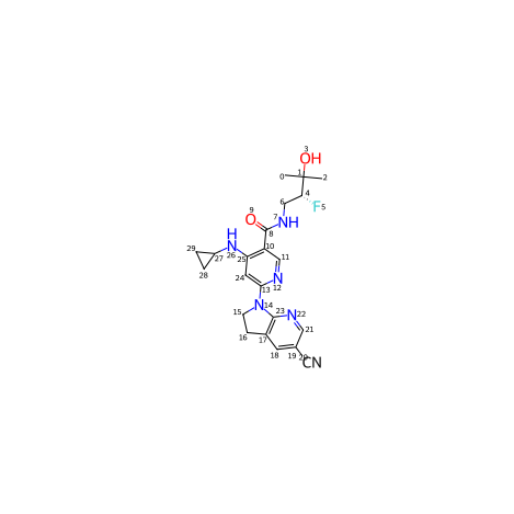 CC(C)(O)[C@H](F)CNC(=O)c1cnc(N2CCc3cc(C#N)cnc32)cc1NC1CC1